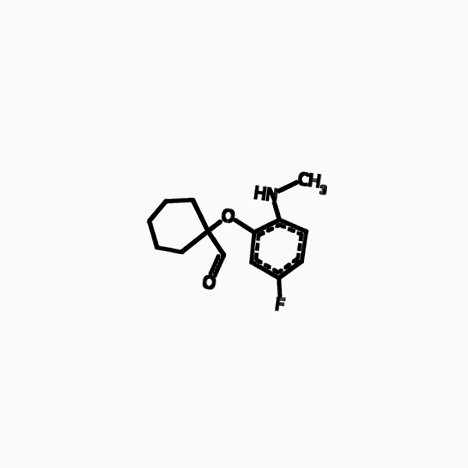 CNc1ccc(F)cc1OC1(C=O)CCCCC1